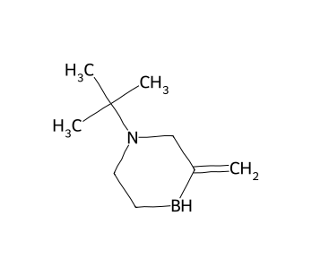 C=C1BCCN(C(C)(C)C)C1